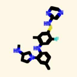 CNC1CCN(c2cc(C)ccc2Nc2cc(F)c(SNc3cnccn3)cc2C)C1